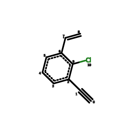 C#Cc1cccc([C]=C)c1Cl